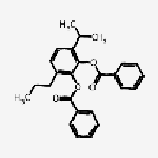 CCCc1ccc(C(C)C)c(OC(=O)c2ccccc2)c1OC(=O)c1ccccc1